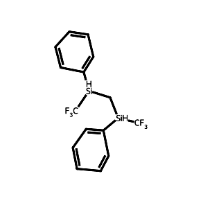 FC(F)(F)[SiH](C[SiH](c1ccccc1)C(F)(F)F)c1ccccc1